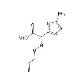 C=CCON=C(C(=O)OC)c1csc(N)n1